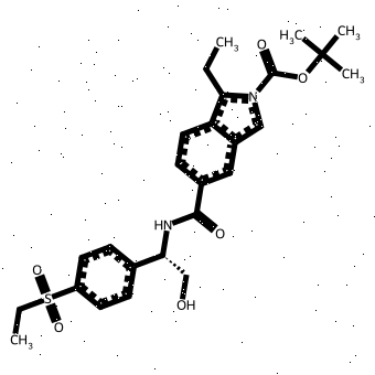 CCc1c2ccc(C(=O)N[C@H](CO)c3ccc(S(=O)(=O)CC)cc3)cc2cn1C(=O)OC(C)(C)C